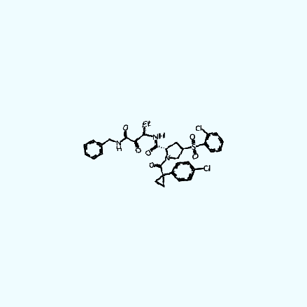 CCC(NC(=O)[C@@H]1C[C@@H](S(=O)(=O)c2ccccc2Cl)CN1C(=O)C1(c2ccc(Cl)cc2)CC1)C(=O)C(=O)NCc1ccccc1